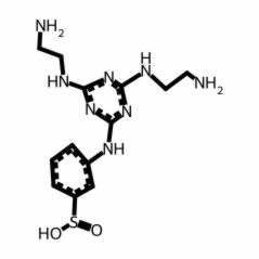 NCCNc1nc(NCCN)nc(Nc2cccc(S(=O)O)c2)n1